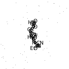 CCOc1cc(-c2ccc(N3CCC(CN4CCN(C5CN(C(=O)c6ccc7c(c6)CN(C6CCC(=O)NC6=O)C7=O)C5)CC4)(NC(=O)c4cc(F)ccc4F)CC3)nc2)c2c(C#N)cnn2c1